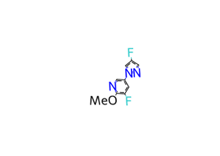 COc1ncc(-n2cc(F)cn2)cc1F